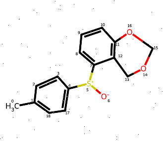 Cc1ccc([S+]([O-])c2cccc3c2COCO3)cc1